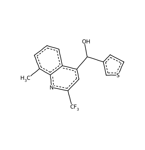 Cc1cccc2c(C(O)c3ccsc3)cc(C(F)(F)F)nc12